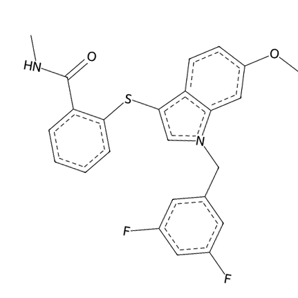 CNC(=O)c1ccccc1Sc1cn(Cc2cc(F)cc(F)c2)c2cc(OC)ccc12